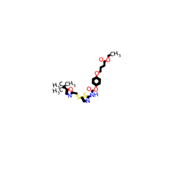 CCOC(=O)CCCOc1ccc(OC(=O)Nc2ncc(SCc3ncc(C(C)(C)C)o3)s2)cc1